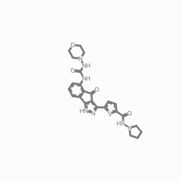 O=C(Nc1cccc2c1C(=O)c1c(-c3ccc(C(=O)NN4CCCC4)s3)n[nH]c1-2)NN1CCOCC1